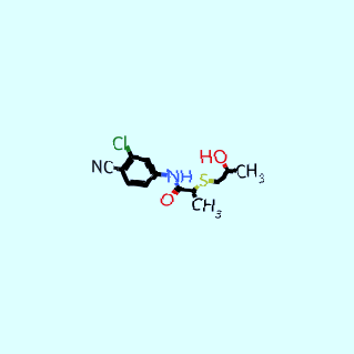 CC(O)CSC(C)C(=O)Nc1ccc(C#N)c(Cl)c1